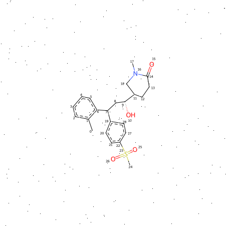 Cc1ccccc1C(C[C@@H](O)C1CCC(=O)N(C)C1)c1ccc(S(C)(=O)=O)cc1